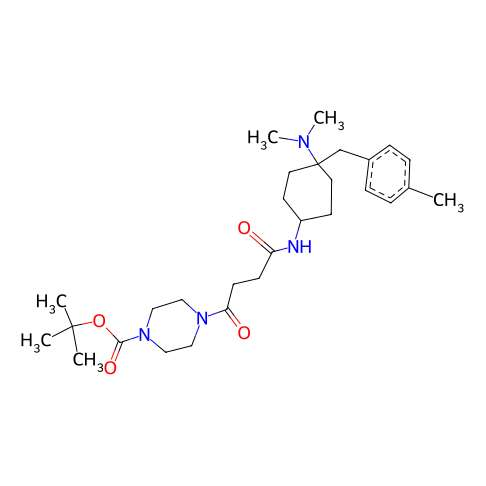 Cc1ccc(CC2(N(C)C)CCC(NC(=O)CCC(=O)N3CCN(C(=O)OC(C)(C)C)CC3)CC2)cc1